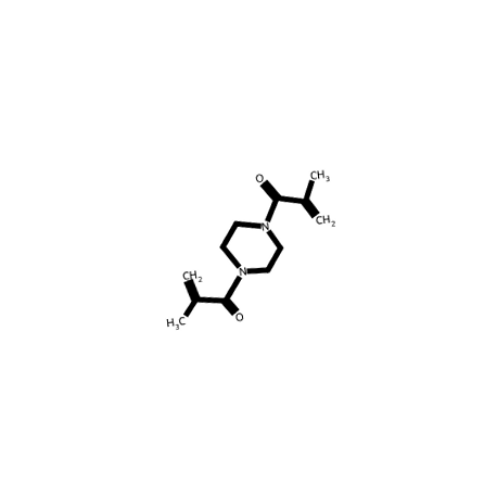 C=C(C)C(=O)N1CCN(C(=O)C(=C)C)CC1